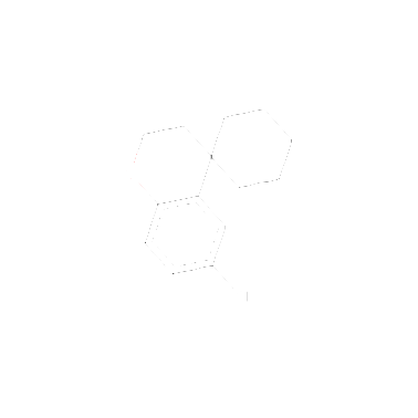 Cc1ccc2c(c1)C1(CCCCC1)CCO2